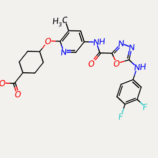 Cc1cc(NC(=O)c2nnc(Nc3ccc(F)c(F)c3)o2)cnc1OC1CCC(C(=O)O)CC1